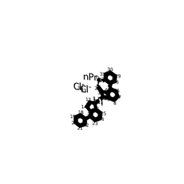 CCCP1C2=Cc3c(cccc3[CH]2[Hf+2][CH]2C=Cc3c(-c4ccccc4)cccc32)-c2ccccc21.[Cl-].[Cl-]